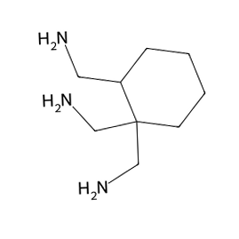 NCC1CCCCC1(CN)CN